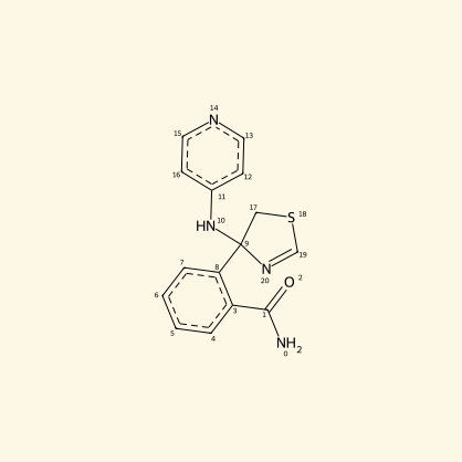 NC(=O)c1ccccc1C1(Nc2ccncc2)CSC=N1